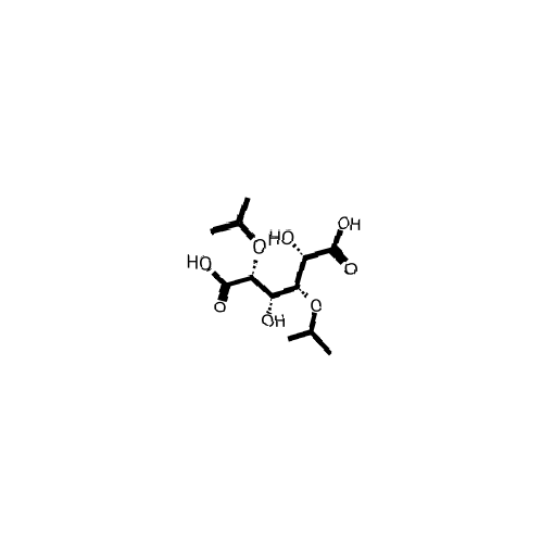 CC(C)O[C@H]([C@H](O)[C@@H](OC(C)C)C(=O)O)[C@H](O)C(=O)O